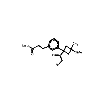 COC(=O)CCc1cccc(C2(C(=O)CBr)CC(C)(OC)C2)c1